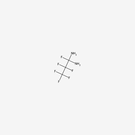 NC(N)(F)C(F)(F)C(F)(F)F